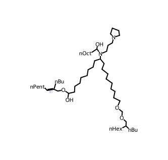 CCCCC/C=C(\CCCC)COC(O)CCCCCCCCC(CCCCCCCCCOCOCC(CCCC)CCCCCC)N(CCCN1CCCC1)C(O)CCCCCCCC